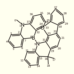 CN1c2ccccc2B(N2c3ccccc3C(C)(C)c3ccc4c(oc5ccccc54)c32)c2ccccc21